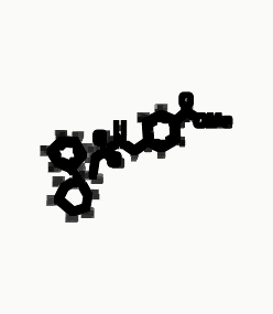 COC(=O)c1ccc(CNS(=O)(=O)CC[N+]2(c3ccccc3)CCCCC2)cc1